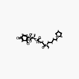 CN(CCCCN1CCCC1)C(=O)CNC(=O)CN(C)S(=O)(=O)c1ccc(Cl)cc1Cl